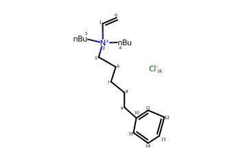 C=C[N+](CCCC)(CCCC)CCCCCc1ccccc1.[Cl-]